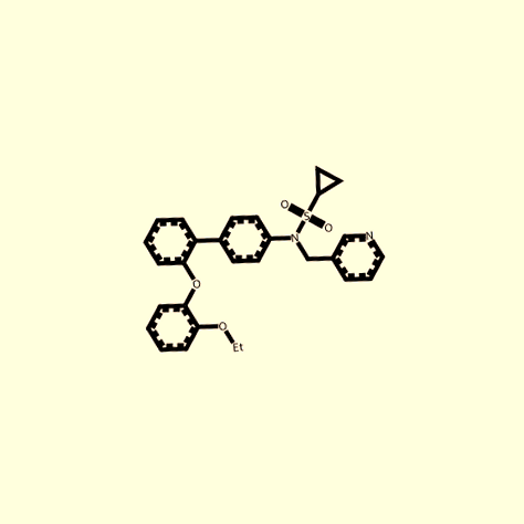 CCOc1ccccc1Oc1ccccc1-c1ccc(N(Cc2cccnc2)S(=O)(=O)C2CC2)cc1